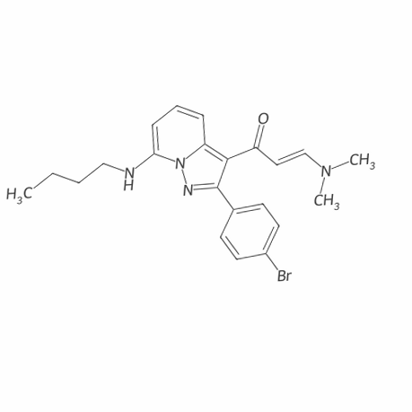 CCCCNc1cccc2c(C(=O)/C=C/N(C)C)c(-c3ccc(Br)cc3)nn12